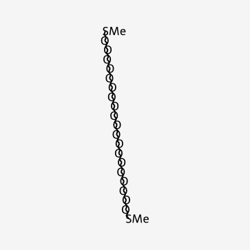 CSCCOCCOCCOCCOCCOCCOCCOCCOCCOCCOCCOCCOCCOCCOCCOCCOCCOCCOCCOCCSC